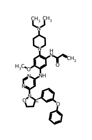 C=CC(=O)Nc1cc(Nc2cc(N3OCC[C@@H]3c3cccc(Oc4ccccc4)c3)ncn2)c(OC)cc1N1CCC(N(CC)CC)CC1